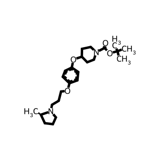 C[C@@H]1CCCN1CCCOc1ccc(OC2CCN(C(=O)OC(C)(C)C)CC2)cc1